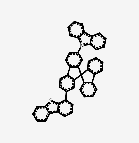 c1ccc2c(c1)-c1ccccc1C21c2cc(-c3cccc4c3sc3ccccc34)ccc2-c2ccc(-n3c4ccccc4c4ccccc43)cc21